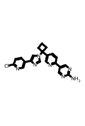 Nc1ncc(-c2ccc(C3(n4cnc(-c5ccc(Cl)nc5)c4)CCC3)cn2)cn1